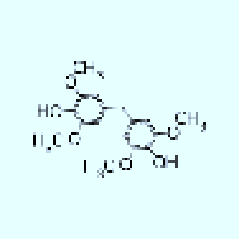 COc1cc(Cc2cc(OC)c(O)c(OC)c2)cc(OC)c1O